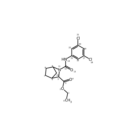 CCOC(=O)C1C2CCC(C2)N1C(=O)Nc1cc(Cl)cc(Cl)c1